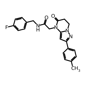 Cc1ccc(-c2cc3n(n2)CCC(=O)N3CC(=O)NCc2ccc(F)cc2)cc1